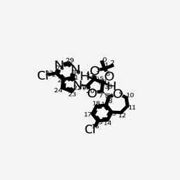 CC1(C)O[C@@H]2[C@H](O1)C([C@@H]1OCCCc3cc(Cl)ccc31)O[C@H]2n1ccc2c(Cl)ncnc21